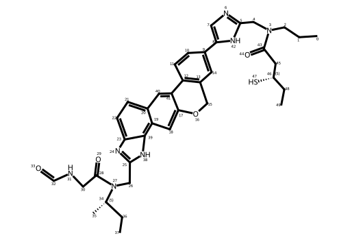 CCCN(Cc1ncc(-c2ccc3c(c2)COc2cc4c(ccc5nc(CN(C(=O)CNC=O)[C@@H](C)CC)[nH]c54)cc2-3)[nH]1)C(=O)C[C@@H](S)CC